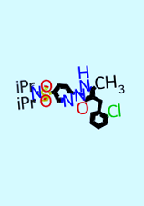 Cc1[nH]n(-c2ccc(S(=O)(=O)N(C(C)C)C(C)C)cn2)c(=O)c1Cc1ccccc1Cl